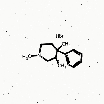 Br.CC1CN(C)CCC1(C)c1ccccc1